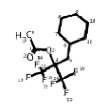 CC(=O)OC(CC1CCCCC1)(C(F)(F)F)C(F)(F)F